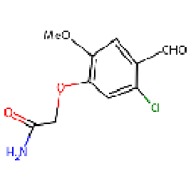 COc1cc(C=O)c(Cl)cc1OCC(N)=O